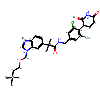 CC(C)(C(=O)NCc1cc(Cl)c(C2CCC(=O)NC2=O)c(Cl)c1)c1ccc2ncn(COCC[Si](C)(C)C)c2c1